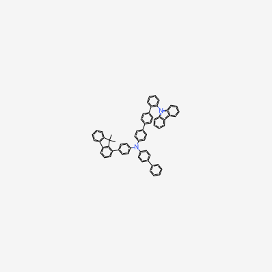 CC1(C)c2ccccc2-c2cccc(-c3ccc(N(c4ccc(-c5ccccc5)cc4)c4ccc(-c5ccc(-c6ccccc6-n6c7ccccc7c7ccccc76)cc5)cc4)cc3)c21